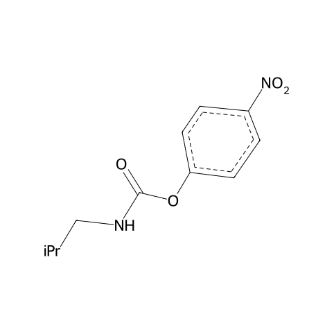 CC(C)CNC(=O)Oc1ccc([N+](=O)[O-])cc1